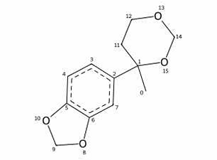 CC1(c2ccc3c(c2)OCO3)CCOCO1